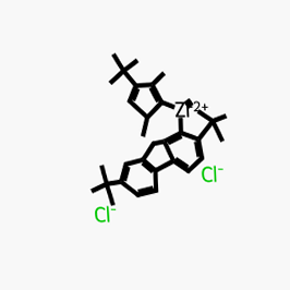 [CH2]=[Zr+2]([C]1=C(C)C(C(C)(C)C)=CC1C)[c]1c(C(C)(C)C)ccc2c1Cc1cc(C(C)(C)C)ccc1-2.[Cl-].[Cl-]